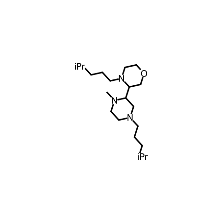 CC(C)CCCN1CCN(C)C(C2COCCN2CCCC(C)C)C1